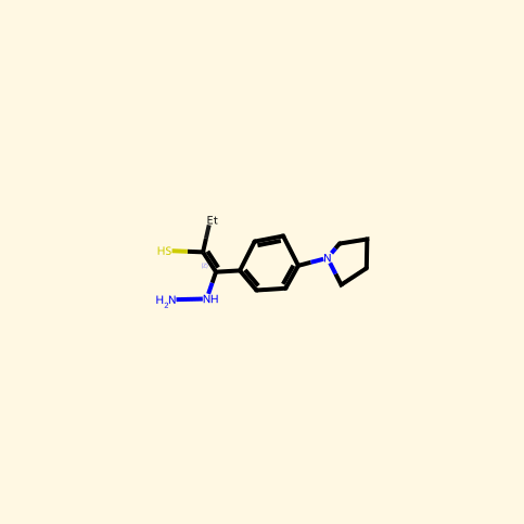 CC/C(S)=C(/NN)c1ccc(N2CCCC2)cc1